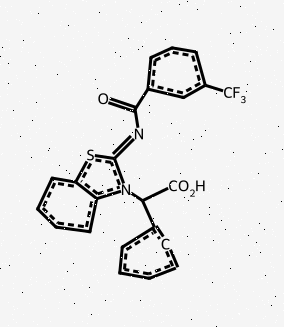 O=C(N=c1sc2ccccc2n1C(C(=O)O)c1ccccc1)c1cccc(C(F)(F)F)c1